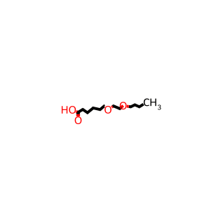 CCCCOCCOCCCCCC(=O)O